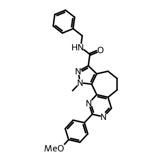 COc1ccc(-c2ncc3c(n2)-c2c(c(C(=O)NCc4ccccc4)nn2C)CCC3)cc1